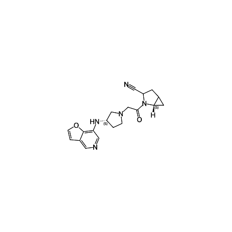 N#CC1CC2C[C@@H]2N1C(=O)CN1CC[C@H](Nc2cncc3ccoc23)C1